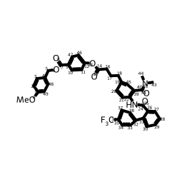 COc1ccc(COC(=O)c2ccc(OC(=O)CCCc3ccc(NC(=O)c4ccccc4-c4ccc(C(F)(F)F)cc4)c(C(=O)N(C)C)c3)cc2)cc1